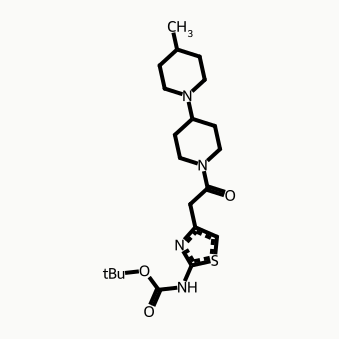 CC1CCN(C2CCN(C(=O)Cc3csc(NC(=O)OC(C)(C)C)n3)CC2)CC1